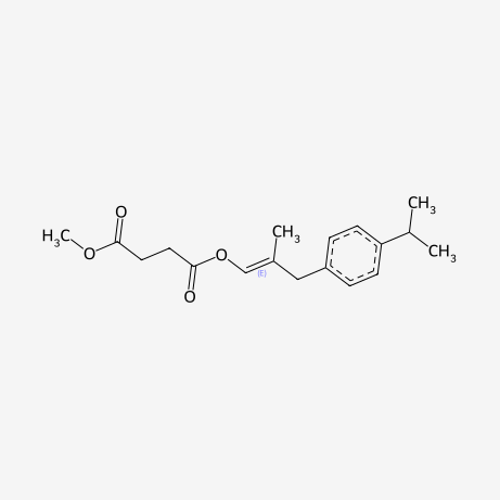 COC(=O)CCC(=O)O/C=C(\C)Cc1ccc(C(C)C)cc1